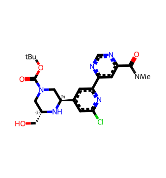 CNC(=O)c1cc(-c2cc([C@@H]3CN(C(=O)OC(C)(C)C)C[C@@H](CO)N3)cc(Cl)n2)ncn1